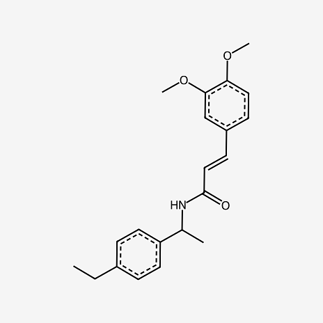 CCc1ccc(C(C)NC(=O)/C=C/c2ccc(OC)c(OC)c2)cc1